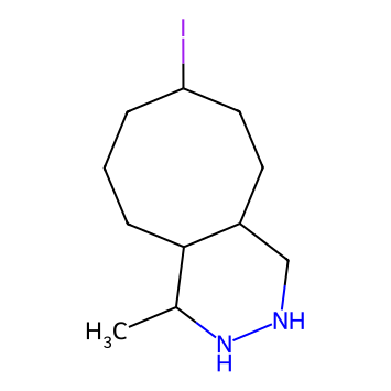 CC1NNCC2CCC(I)CCCC21